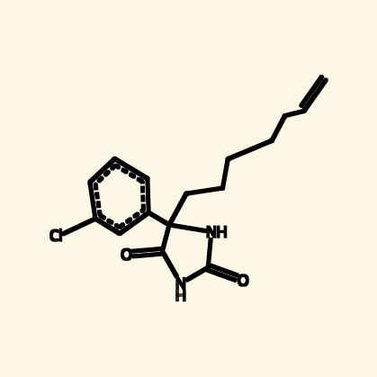 C=CCCCCCC1(c2cccc(Cl)c2)NC(=O)NC1=O